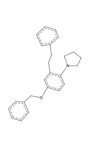 c1ccc(CCc2cc(OCc3ccccc3)ccc2N2CCCC2)cc1